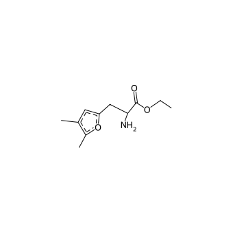 CCOC(=O)C(N)Cc1cc(C)c(C)o1